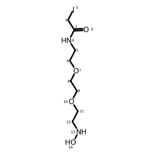 O=C(CI)NCCOCCOCCNO